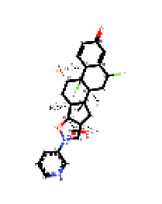 C[C@]12C[C@H](O)[C@@]3(F)[C@@H](C[C@H](F)C4=CC(=O)C=C[C@@]43C)[C@]1(C)C[C@H]1CN(c3cccnc3)O[C@]12C(=O)O